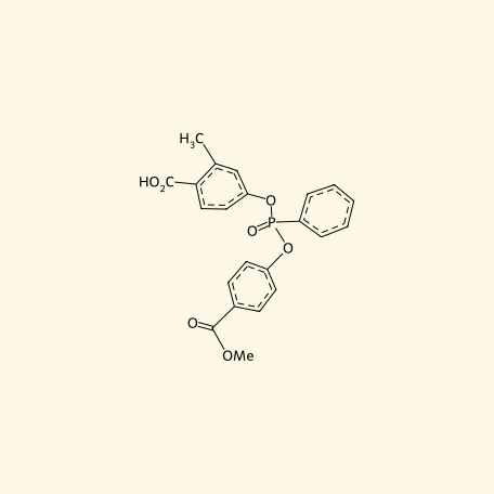 COC(=O)c1ccc(OP(=O)(Oc2ccc(C(=O)O)c(C)c2)c2ccccc2)cc1